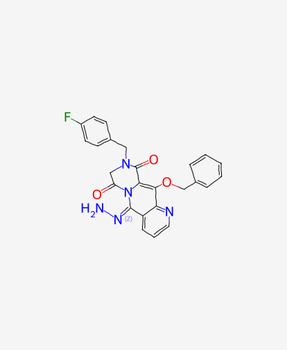 N/N=c1/c2cccnc2c(OCc2ccccc2)c2n1C(=O)CN(Cc1ccc(F)cc1)C2=O